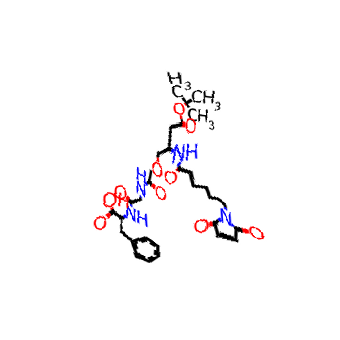 CC(C)(C)OC(=O)CC(COCC(=O)NCC(=O)N[C@@H](Cc1ccccc1)C(=O)O)NC(=O)CCCCCN1C(=O)C=CC1=O